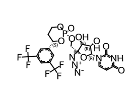 [N-]=[N+]=N[C@]1(COP2(=O)OCC[C@@H](c3cc(C(F)(F)F)cc(C(F)(F)F)c3)O2)O[C@@H](n2ccc(=O)[nH]c2=O)[C@H](O)[C@@H]1O